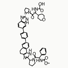 COC(=O)NC(C(=O)N1CCCC1c1nc2c([nH]1)-c1ccc(-c3ccc(-c4ccc5nc([C@@H]6CCCN6C(=O)[C@@H](NC(=O)O)C6CCOCC6)[nH]c5c4)cc3)cc1CC2)c1ccccc1